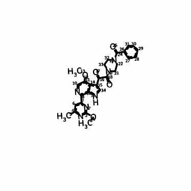 COc1nc(C)cc(-c2ncc(OC)c3c(C(=O)C(=O)N4CCN(C(=O)c5ccccc5)CC4)c[nH]c23)n1